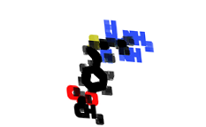 CC(=O)Oc1ccc(-c2csc(NC(=N)N)n2)cc1